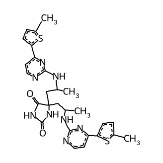 Cc1ccc(-c2ccnc(NC(C)CC3(CC(C)Nc4nccc(-c5ccc(C)s5)n4)NC(=O)NC3=O)n2)s1